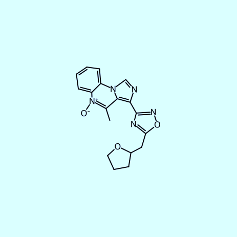 Cc1c2c(-c3noc(CC4CCCO4)n3)ncn2c2ccccc2[n+]1[O-]